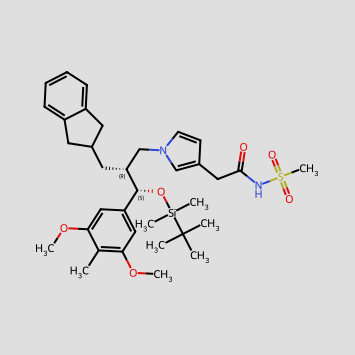 COc1cc([C@@H](O[Si](C)(C)C(C)(C)C)[C@H](CC2Cc3ccccc3C2)Cn2ccc(CC(=O)NS(C)(=O)=O)c2)cc(OC)c1C